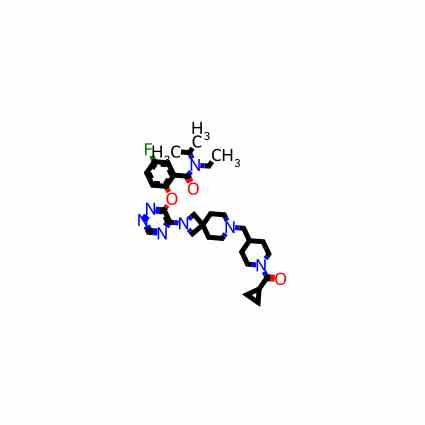 CCN(C(=O)c1cc(F)ccc1Oc1nncnc1N1CC2(CCN(CC3CCN(C(=O)C4CC4)CC3)CC2)C1)C(C)C